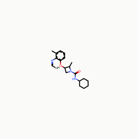 CCC/C=N\c1c(C)cccc1OC1CN(C(=O)NC2CCCCC2)C1C